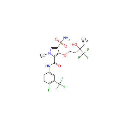 C=CC(O)(CCOc1c(S(N)(=O)=O)cn(C)c1C(=O)Nc1ccc(F)c(C(F)(F)F)c1)C(F)(F)F